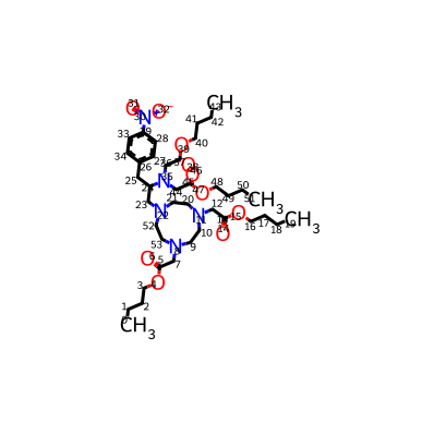 CCCCOC(=O)CN1CCN(CC(=O)OCCCC)CCN(CC(Cc2ccc([N+](=O)[O-])cc2)N(CC(=O)OCCCC)CC(=O)OCCCC)CC1